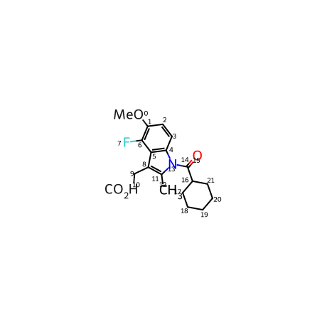 COc1ccc2c(c1F)c(CC(=O)O)c(C)n2C(=O)C1CCCCC1